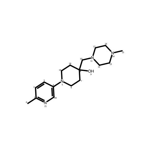 Cc1ccc(N2CCC(O)(CN3CCN(C)CC3)CC2)cn1